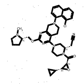 CN1CCC[C@H]1COc1nc2c(c(N3CCN(C(=O)[C@H]4O[C@@H]4C4CC4)[C@@H](CC#N)C3)n1)CCN(c1cccc3cccc(Cl)c13)C2